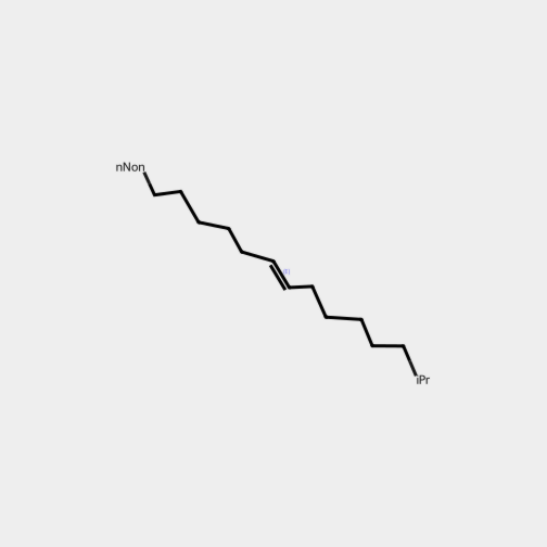 CCCCCCCCCCCCCC/C=C/CCCCCC(C)C